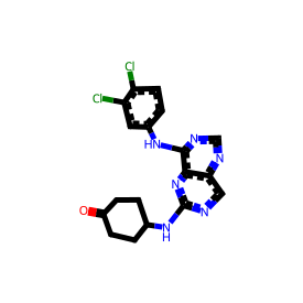 O=C1CCC(Nc2ncc3ncnc(Nc4ccc(Cl)c(Cl)c4)c3n2)CC1